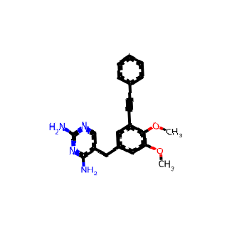 COc1cc(Cc2cnc(N)nc2N)cc(C#Cc2cc[c]cc2)c1OC